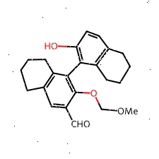 COCOc1c(C=O)cc2c(c1-c1c(O)ccc3c1CCCC3)CCCC2